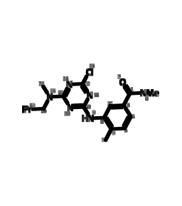 CNC(=O)c1ccc(C)c(Nc2nc(Cl)nc(N(C)CC(C)C)n2)c1